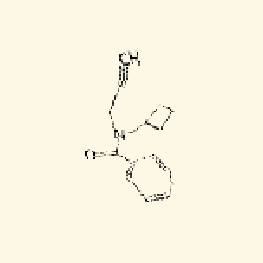 C#CCN(C(=O)c1ccccc1)C1CCC1